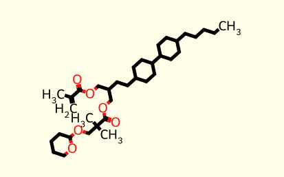 C=C(C)C(=O)OCC(CCC1CCC(C2CCC(CCCCC)CC2)CC1)COC(=O)C(C)(C)COC1CCCCO1